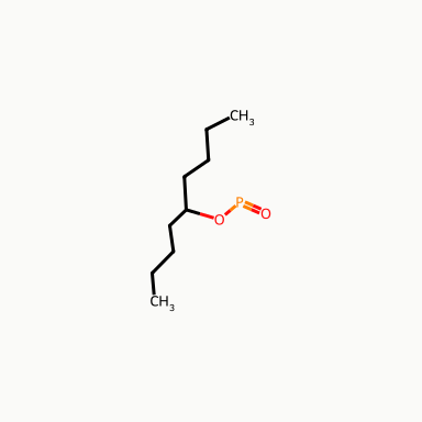 CCCCC(CCCC)OP=O